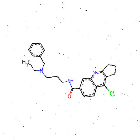 CCN(CCCNC(=O)c1ccc2c(Cl)c3c(nc2c1)CCC3)Cc1ccccc1